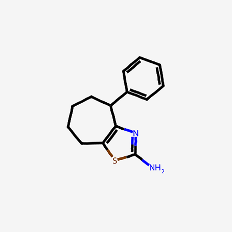 Nc1nc2c(s1)CCCCC2c1ccccc1